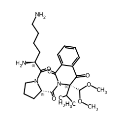 COC(OC)[C@@]1(C(C)C)C(=O)c2ccccc2C(=O)N1C(=O)[C@@H]1CCCN1C(=O)[C@@H](N)CCCCN